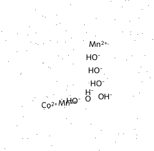 [Co+2].[Mn+2].[Mn+2].[OH-].[OH-].[OH-].[OH-].[OH-].[OH-]